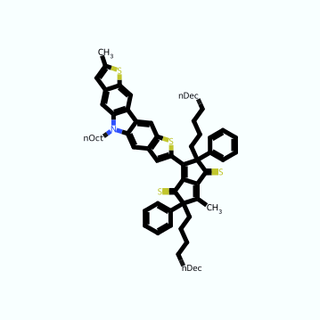 CCCCCCCCCCCCCCC1(c2ccccc2)C(=S)C2=C(c3cc4cc5c(cc4s3)c3cc4sc(C)cc4cc3n5CCCCCCCC)C(CCCCCCCCCCCCCC)(c3ccccc3)C(=S)C2=C1C